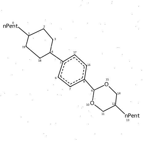 CCCCCC1CCC(c2ccc(C3OCC(CCCCC)CO3)cc2)CC1